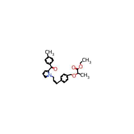 CCOC(=O)C(C)OCc1ccc(/C=C\Cn2cccc2C(=O)c2ccc(C)cc2)cc1